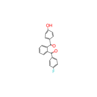 O=C(c1ccc(O)cc1)c1ccccc1C(=O)c1ccc(F)cc1